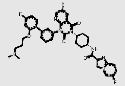 CN(C)CCCOc1cc(F)ccc1-c1cccc(-n2c(=O)n([C@H]3CC[C@@H](NC(=O)c4cn5cc(F)ccc5n4)CC3)c(=O)c3cc(F)cnc32)c1